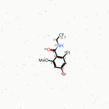 CCc1cc(Br)cc(OC)c1C(=O)NCC(F)(F)F